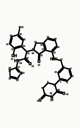 O=C1CCC(c2cccc(CNc3cccc4c3C(=O)N(C(C(=O)Nc3nccs3)c3cc(F)ccc3O)C4)c2)C(=O)N1